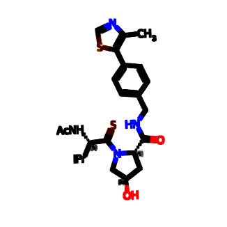 CC(=O)N[C@H](C(=S)N1C[C@H](O)C[C@H]1C(=O)NCc1ccc(-c2scnc2C)cc1)C(C)C